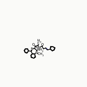 CC(NC(=O)C/C=C/c1ccccc1)C(=O)C1N=C(c2ccccc2)c2ccccc2N(C)[C@@H]1N